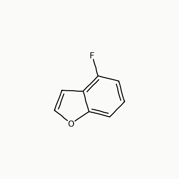 Fc1cccc2occc12